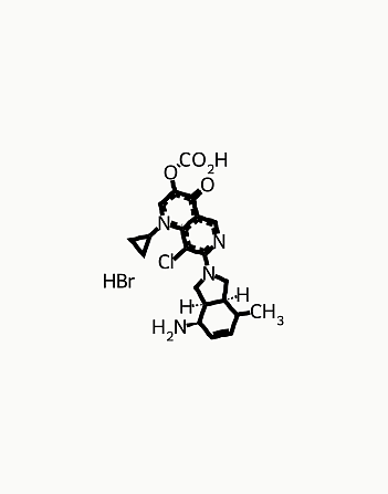 Br.CC1C=C[C@@H](N)[C@H]2CN(c3ncc4c(=O)c(OC(=O)O)cn(C5CC5)c4c3Cl)C[C@@H]12